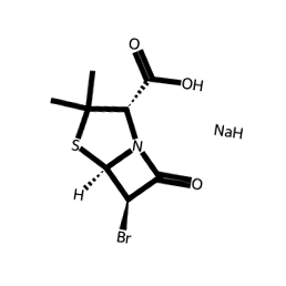 CC1(C)S[C@@H]2[C@H](Br)C(=O)N2[C@H]1C(=O)O.[NaH]